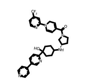 O=C(C1=CCN(c2cc(C(F)(F)F)ccn2)C=C1)N1CC[C@H](NC2CCC(O)(c3ccc(-c4ccncc4)cn3)CC2)C1